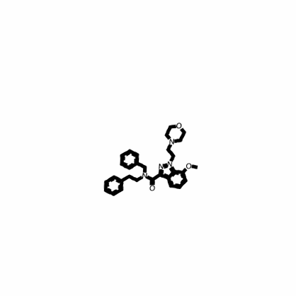 COc1cccc2c(C(=O)N(CCc3ccccc3)Cc3ccccc3)nn(CCN3CCOCC3)c12